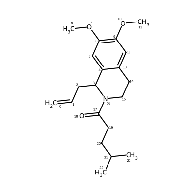 C=CCC1c2cc(OC)c(OC)cc2CCN1C(=O)CCC(C)C